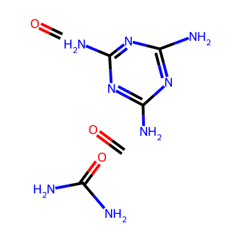 C=O.C=O.NC(N)=O.Nc1nc(N)nc(N)n1